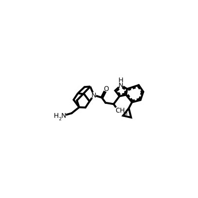 CC(CC(=O)N1C2CC3CC1CC(CN)(C3)C2)c1c[nH]c2cccc(C3CC3)c12